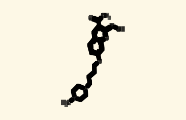 CC(=O)c1cc2ccc(OCCCCN3CCN(C)CC3)cc2oc1=NO